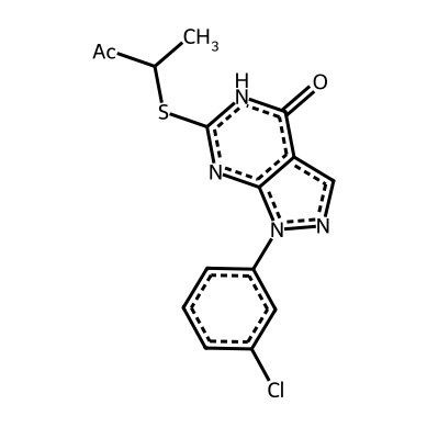 CC(=O)C(C)Sc1nc2c(cnn2-c2cccc(Cl)c2)c(=O)[nH]1